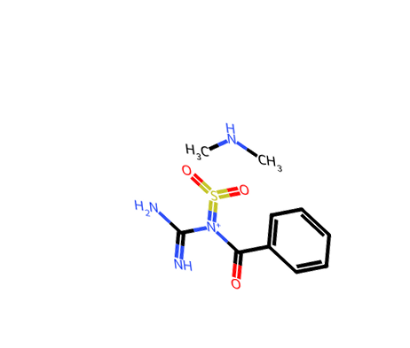 CNC.N=C(N)[N+](C(=O)c1ccccc1)=S(=O)=O